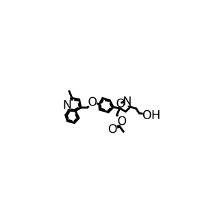 CC(=O)OCC1(c2ccc(OCc3cc(C)nc4ccccc34)cc2)CC(CCO)=NO1